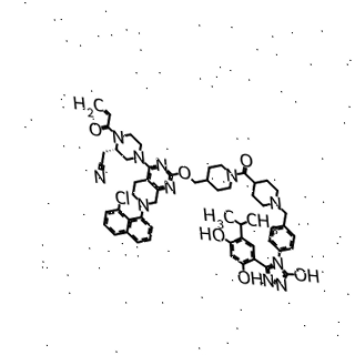 C=CC(=O)N1CCN(c2nc(OCC3CCN(C(=O)C4CCN(Cc5ccc(-n6c(O)nnc6-c6cc(C(C)C)c(O)cc6O)cc5)CC4)CC3)nc3c2CCN(c2cccc4cccc(Cl)c24)C3)C[C@@H]1CC#N